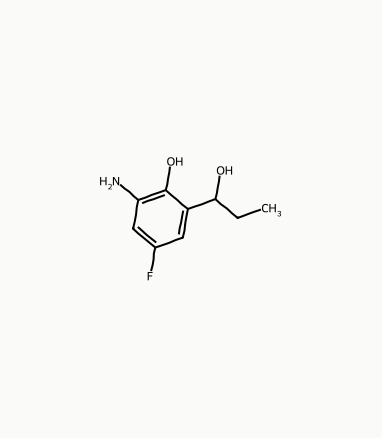 CCC(O)c1cc(F)cc(N)c1O